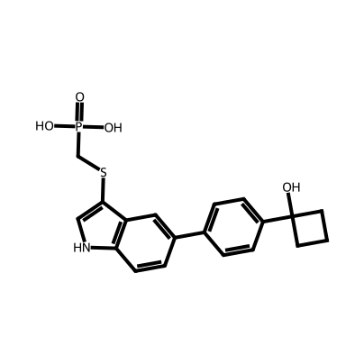 O=P(O)(O)CSc1c[nH]c2ccc(-c3ccc(C4(O)CCC4)cc3)cc12